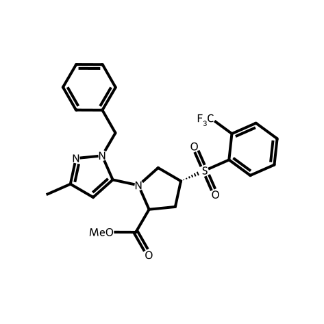 COC(=O)C1C[C@@H](S(=O)(=O)c2ccccc2C(F)(F)F)CN1c1cc(C)nn1Cc1ccccc1